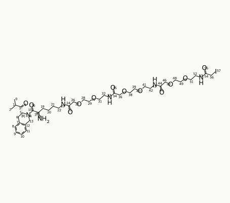 CC(C)C(=O)[C@H]1Cc2ccccc2CN1C(=O)[C@H](N)CCCCNC(=O)COCCOCCNC(=O)COCCOCCNC(=O)COCCOCCNC(=O)CI